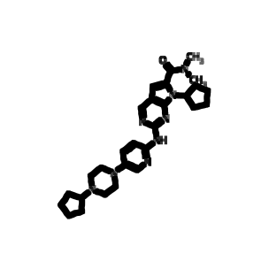 CN(C)C(=O)c1cc2cnc(Nc3ccc(N4CCN(C5CCCC5)CC4)cn3)nc2n1C1CCCC1